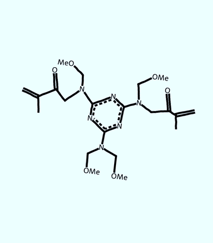 C=C(C)C(=O)CN(COC)c1nc(N(COC)COC)nc(N(COC)CC(=O)C(=C)C)n1